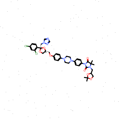 CC1(C)OCC(CN2C(=O)N(c3ccc(N4CCN(c5ccc(OC[C@@H]6CO[C@@](Cn7cncn7)(c7ccc(Cl)cc7Cl)O6)cc5)CC4)cc3)C(=O)C2(C)C)O1